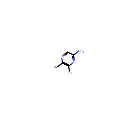 CC(C)c1ncc(N)nc1C#N